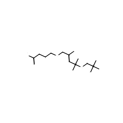 BC(C)CCCNCC(C)CC(C)(C)NCC(C)(C)C